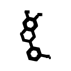 Oc1cc2c(cc1O)OCC(c1cccc(C(F)(F)F)c1)C2